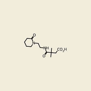 CC(C)(CC(=O)O)C(=O)NCCN1CCCCC1=O